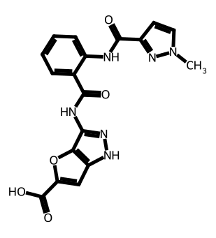 Cn1ccc(C(=O)Nc2ccccc2C(=O)Nc2n[nH]c3cc(C(=O)O)oc23)n1